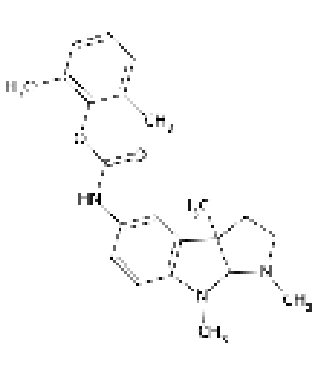 Cc1cccc(C)c1OC(=O)Nc1ccc2c(c1)C1(C)CCN(C)C1N2C